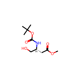 COC(=O)C[C@H](CO)NC(=O)OC(C)(C)C